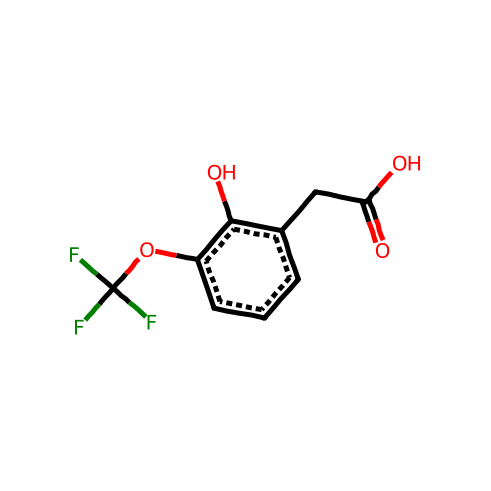 O=C(O)Cc1cccc(OC(F)(F)F)c1O